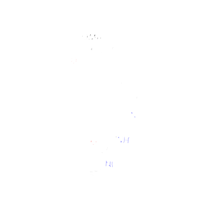 CCNC(=O)Nc1ccc(-c2cccc(C(=O)OC)c2)cn1